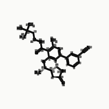 C[C@H](Oc1nc(-c2cccc(C#N)c2)nc(N)c1C(=O)NOCC(C)(C)O)[C@@H]1CNC(=O)C1